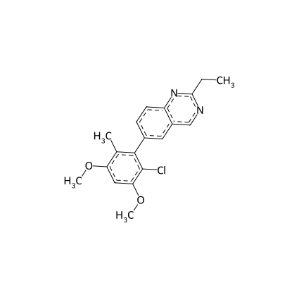 CCc1ncc2cc(-c3c(C)c(OC)cc(OC)c3Cl)ccc2n1